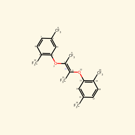 FC(F)(F)/C(Oc1cc(C(F)(F)F)ccc1C(F)(F)F)=C(\Oc1cc(C(F)(F)F)ccc1C(F)(F)F)C(F)(F)F